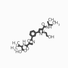 CCC(CC)NC(=O)c1cc(-c2cccc(-c3ncc(C(=O)NC(C(=O)O)C(C)C)o3)c2)nn1CCO